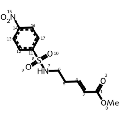 COC(=O)/C=C/CCNS(=O)(=O)c1ccc([N+](=O)[O-])cc1